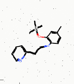 Cc1ccc(N=CCc2ccccn2)c(O[Si](C)(C)C)c1